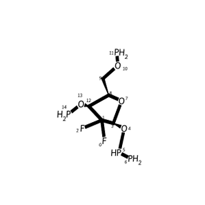 FC1(F)[C@H](OPP)O[C@H](COP)[C@@H]1OP